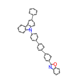 c1ccc(-c2ccc3c(c2)c2ccccc2n3-c2ccc(-c3ccc(-c4ccc(-c5nc6ccccc6o5)cc4)cc3)cc2)cc1